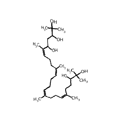 CC(=CCCC=C(C)CCC=C(C)C(O)CC(O)C(C)(C)O)CCC=C(C)CCC(O)C(C)(C)O